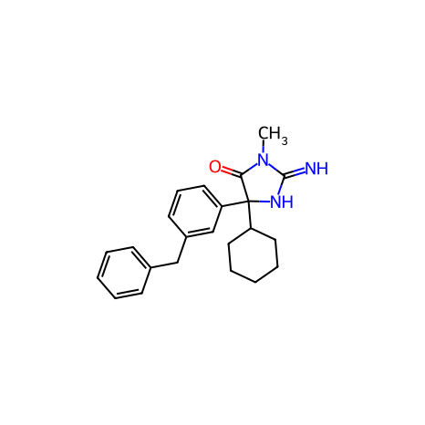 CN1C(=N)NC(c2cccc(Cc3ccccc3)c2)(C2CCCCC2)C1=O